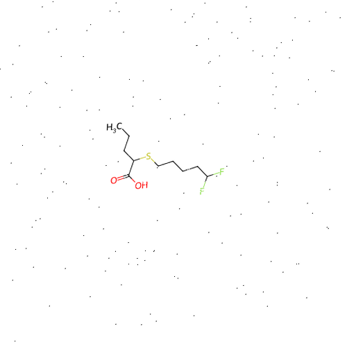 CCCC(SCCCCC(F)F)C(=O)O